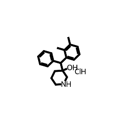 Cc1cccc(C(c2ccccc2)C2(O)CCCNC2)c1C.Cl